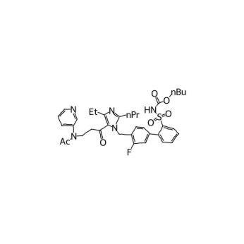 CCCCOC(=O)NS(=O)(=O)c1ccccc1-c1ccc(Cn2c(CCC)nc(CC)c2C(=O)CCN(C(C)=O)c2cccnc2)c(F)c1